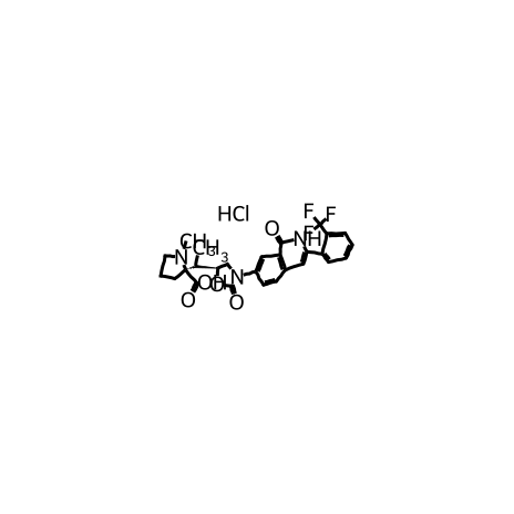 CC([C@H]1CN(c2ccc3cc(-c4ccccc4C(F)(F)F)[nH]c(=O)c3c2)C(=O)O1)[C@]1(C(=O)O)CCCN1C.Cl